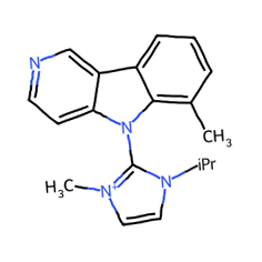 Cc1cccc2c3cnccc3n(-c3n(C(C)C)cc[n+]3C)c12